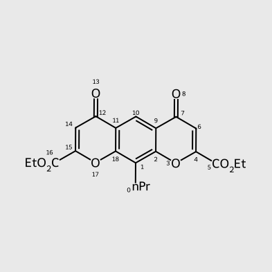 CCCc1c2oc(C(=O)OCC)cc(=O)c2cc2c(=O)cc(C(=O)OCC)oc12